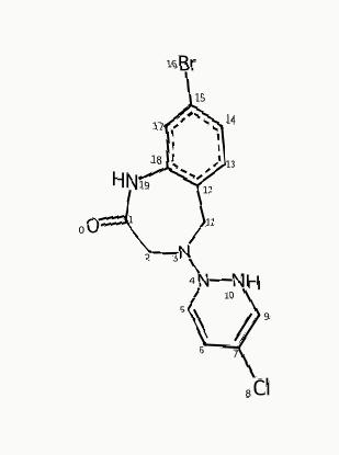 O=C1CN(N2C=CC(Cl)=CN2)Cc2ccc(Br)cc2N1